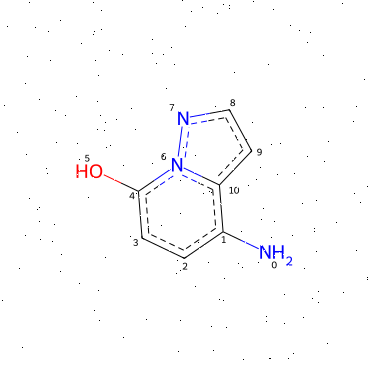 Nc1ccc(O)n2nccc12